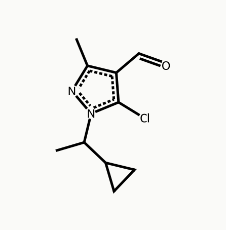 Cc1nn(C(C)C2CC2)c(Cl)c1C=O